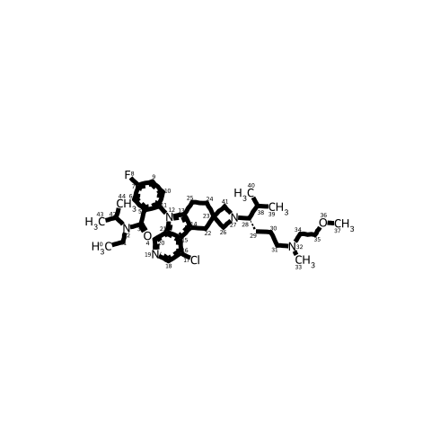 CCN(C(=O)c1cc(F)ccc1-n1c2c(c3c(Cl)cncc31)CC1(CC2)CN([C@@H](CCCN(C)CCOC)C(C)C)C1)C(C)C